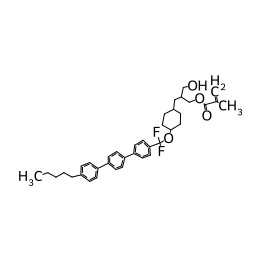 C=C(C)C(=O)OCC(CO)CC1CCC(OC(F)(F)c2ccc(-c3ccc(-c4ccc(CCCCC)cc4)cc3)cc2)CC1